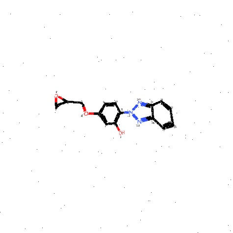 Oc1cc(OCC2CO2)ccc1-n1nc2ccccc2n1